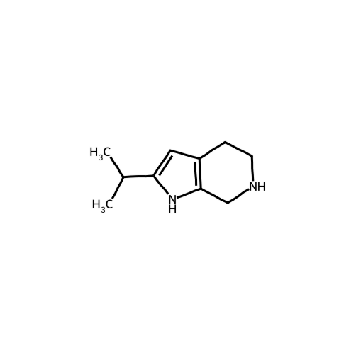 CC(C)c1cc2c([nH]1)CNCC2